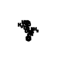 CC1NCCO[C@H]1C(=O)CC(=O)c1c(N)cnn1Cc1ccccc1